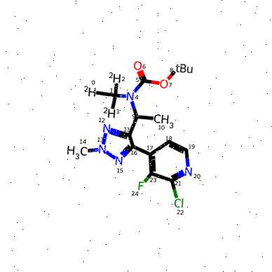 [2H]C([2H])([2H])N(C(=O)OC(C)(C)C)C(C)c1nn(C)nc1-c1ccnc(Cl)c1F